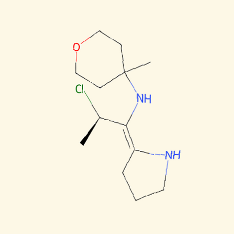 C[C@@H](Cl)/C(NC1(C)CCOCC1)=C1\CCCN1